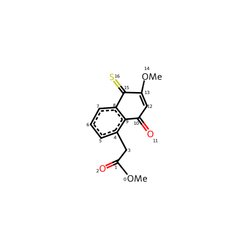 COC(=O)Cc1cccc2c1C(=O)C=C(OC)C2=S